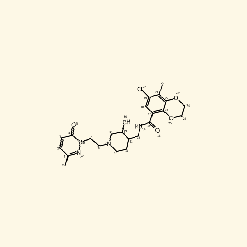 Cc1ccc(=O)n(CCN2CCC(CNC(=O)c3cc(Cl)c(C)c4c3OCCO4)C(O)C2)n1